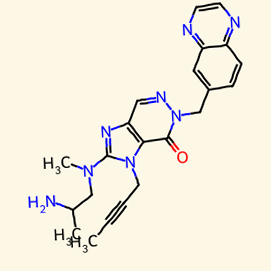 CC#CCn1c(N(C)CC(C)N)nc2cnn(Cc3ccc4nccnc4c3)c(=O)c21